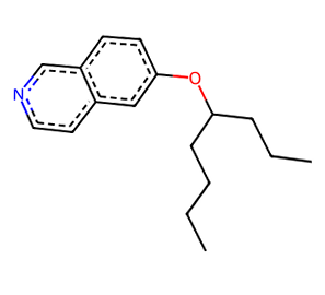 CCCCC(CCC)Oc1ccc2cnccc2c1